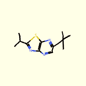 CC(C)c1nc2ncc(C(C)(C)C)nc2s1